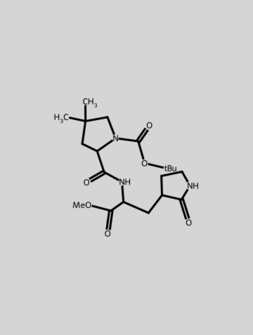 COC(=O)C(CC1CCNC1=O)NC(=O)C1CC(C)(C)CN1C(=O)OC(C)(C)C